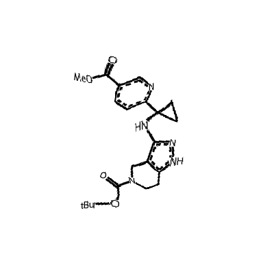 COC(=O)c1ccc(C2(Nc3n[nH]c4c3CN(C(=O)OC(C)(C)C)CC4)CC2)nc1